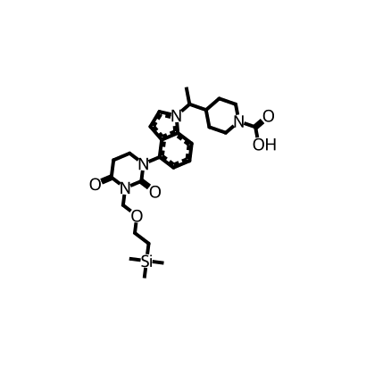 CC(C1CCN(C(=O)O)CC1)n1ccc2c(N3CCC(=O)N(COCC[Si](C)(C)C)C3=O)cccc21